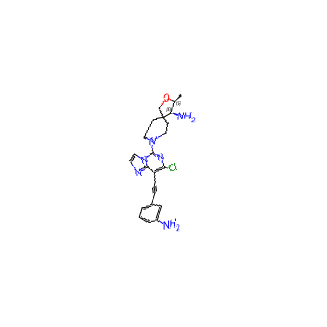 C[C@@H]1OCC2(CCN(c3nc(Cl)c(C#Cc4cccc(N)c4)c4nccn34)CC2)[C@@H]1N